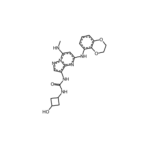 CNc1cc(Nc2cccc3c2OCCO3)nc2c(NC(=O)NC3CC(O)C3)cnn12